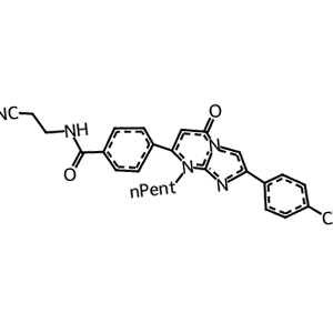 CCCCCn1c(-c2ccc(C(=O)NCCC#N)cc2)cc(=O)n2cc(-c3ccc(Cl)cc3)nc12